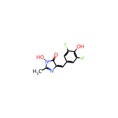 CC1=NC(=Cc2cc(F)c(O)c(F)c2)C(=O)N1O